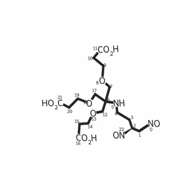 O=NC[C@H](CCNC(COCCC(=O)O)(COCCC(=O)O)COCCC(=O)O)N=O